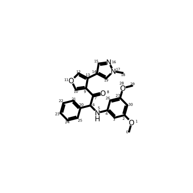 COc1cc(NC(C(=O)c2cocc2-c2cnn(C)c2)c2ccccc2)cc(OC)c1